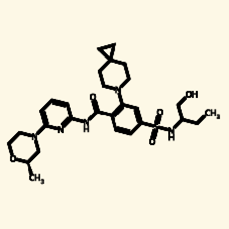 CCC(CO)NS(=O)(=O)c1ccc(C(=O)Nc2cccc(N3CCO[C@H](C)C3)n2)c(N2CCC3(CC2)CC3)c1